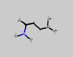 CC[CH2][Al]([CH2]CC)[CH2]CC(CC)N(CC)CC